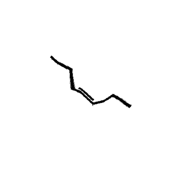 CC/[C]=C\CC